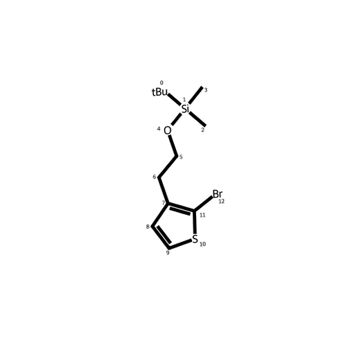 CC(C)(C)[Si](C)(C)OCCc1ccsc1Br